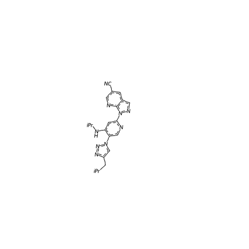 CC(C)Cc1cn(-c2cnc(-n3ncc4cc(C#N)cnc43)cc2NC(C)C)nn1